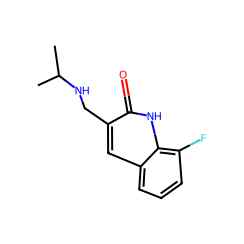 CC(C)NCc1cc2cccc(F)c2[nH]c1=O